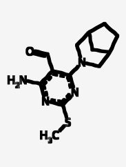 CSc1nc(N)c(C=O)c(N2CC3CCC(C3)C2)n1